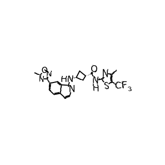 Cc1nc(-c2ccc3ccnc(N[C@H]4C[C@@H](C(=O)Nc5nc(C)c(C(F)(F)F)s5)C4)c3c2)no1